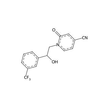 N#Cc1ccn(CC(O)c2cccc(C(F)(F)F)c2)c(=O)c1